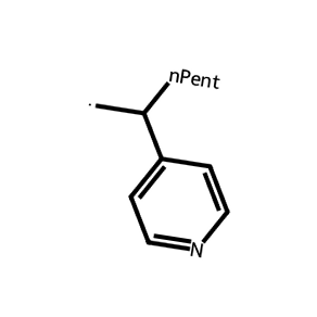 [CH2]C(CCCCC)c1ccncc1